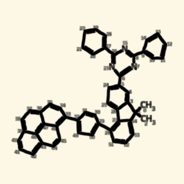 CC1(C)c2cc(-c3nc(-c4ccccc4)nc(-c4ccccc4)n3)ccc2-c2c(-c3ccc(-c4ccc5ccc6cccc7ccc4c5c67)cc3)cccc21